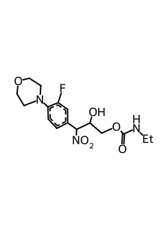 CCNC(=O)OCC(O)C(c1ccc(N2CCOCC2)c(F)c1)[N+](=O)[O-]